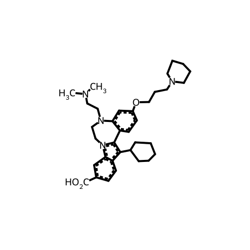 CN(C)CCN1CCn2c(c(C3CCCCC3)c3ccc(C(=O)O)cc32)-c2ccc(OCCCN3CCCCC3)cc21